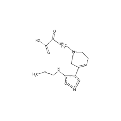 CCCNc1oncc1C1=CCCN(C)C1.O=C(O)C(=O)O